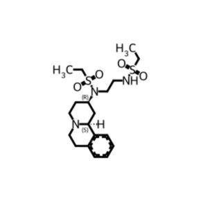 CCS(=O)(=O)NCCN([C@@H]1CCN2CCc3ccccc3[C@@H]2C1)S(=O)(=O)CC